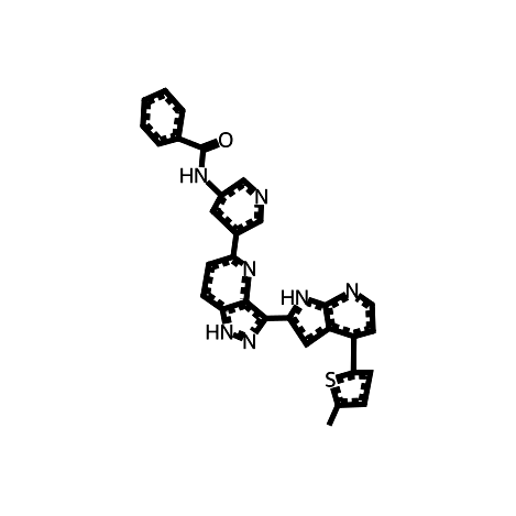 Cc1ccc(-c2ccnc3[nH]c(-c4n[nH]c5ccc(-c6cncc(NC(=O)c7ccccc7)c6)nc45)cc23)s1